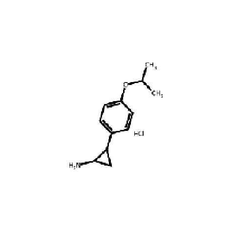 CC(C)Oc1ccc(C2CC2N)cc1.Cl